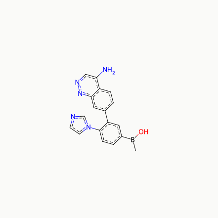 CB(O)c1ccc(-n2ccnc2)c(-c2ccc3c(N)cnnc3c2)c1